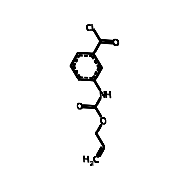 C=CCOC(=O)Nc1cccc(C(=O)Cl)c1